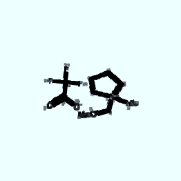 CCCC[N+]1(COC)CCCC1.O=C([O-])C(F)(F)F